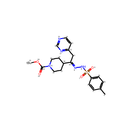 Cc1ccc(S(=O)(=O)N/N=C(\Cc2ccncn2)C2CCN(C(=O)OC(C)(C)C)CC2)cc1